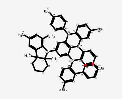 Cc1cc(C)c2c(c1)C1(C)CCCCC1(C)N2c1cc2c3c(c1)N(c1ccc(C(C)(C)C)cc1-c1ccccc1)c1cc(C(C)(C)C)ccc1B3c1cc(C(C)(C)C)ccc1N2c1ccc(C(C)(C)C)cc1